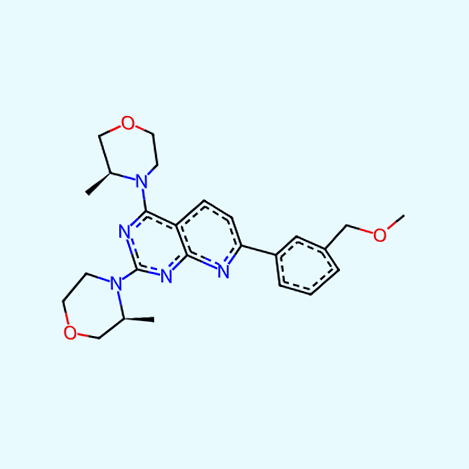 COCc1cccc(-c2ccc3c(N4CCOC[C@@H]4C)nc(N4CCOC[C@@H]4C)nc3n2)c1